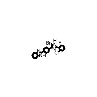 Fc1cccc(Cl)c1-c1nc(-c2ccc(-c3nc4ccccc4[nH]3)cc2)c(Br)[nH]1